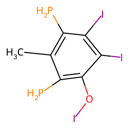 Cc1c(P)c(I)c(I)c(OI)c1P